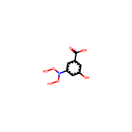 O=C(O)c1cc(O)cc(N(OO)OO)c1